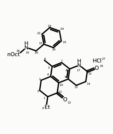 CCC1CCc2c(C)cc3c(c2C1=O)CCC(=O)N3.CCCCCCCCNCc1ccccc1.Cl